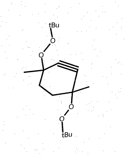 CC(C)(C)OOC1(C)C#CC(C)(OOC(C)(C)C)CC1